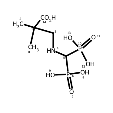 CC(C)(CNC(P(=O)(O)O)P(=O)(O)O)C(=O)O